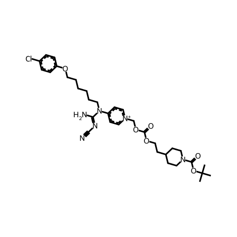 CC(C)(C)OC(=O)N1CCC(CCOC(=O)OC[n+]2ccc(N(CCCCCCOc3ccc(Cl)cc3)C(N)=NC#N)cc2)CC1